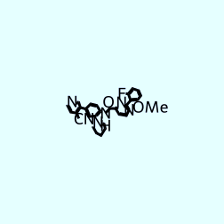 COc1cccc(F)c1-c1nccc(C(=O)Nc2ccc(-c3cnccc3C#N)cc2N2CCCCC2)n1